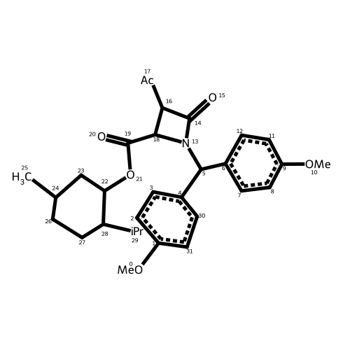 COc1ccc(C(c2ccc(OC)cc2)N2C(=O)C(C(C)=O)C2C(=O)OC2CC(C)CCC2C(C)C)cc1